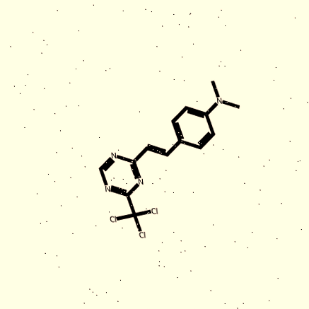 CN(C)c1ccc(C=Cc2ncnc(C(Cl)(Cl)Cl)n2)cc1